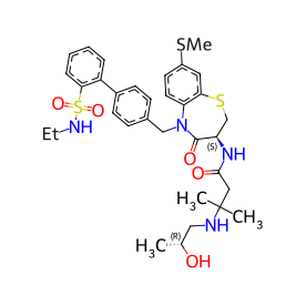 CCNS(=O)(=O)c1ccccc1-c1ccc(CN2C(=O)[C@H](NC(=O)CC(C)(C)NC[C@@H](C)O)CSc3cc(SC)ccc32)cc1